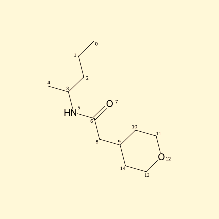 CCCC(C)NC(=O)CC1CCOCC1